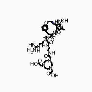 CC(C)C[C@H]1C(=O)N[C@H](C(=O)N[C@@H](CCCNC(=N)N)C(=O)NCCNC(=O)CN2CCN(CC(=O)O)CCN(CC(=O)O)CC2)Cc2ccc(cc2)OC/C=C/[C@@H]1C(=O)NO